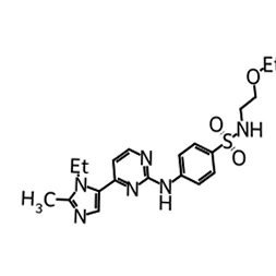 CCOCCNS(=O)(=O)c1ccc(Nc2nccc(-c3cnc(C)n3CC)n2)cc1